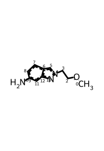 COCCn1cc2ccc(N)cc2n1